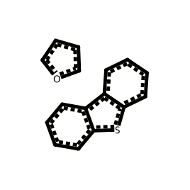 c1ccc2c(c1)sc1ccccc12.c1ccoc1